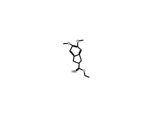 CCOC(=N)C1Cc2cc(OC)c(OC)cc2C1